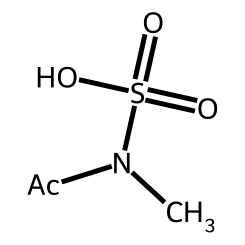 CC(=O)N(C)S(=O)(=O)O